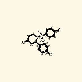 O=C1CCN(S(=O)(=O)c2ccc(Cl)cc2)C(c2ccc(Cl)cc2)C1